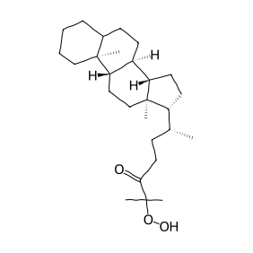 C[C@H](CCC(=O)C(C)(C)OO)[C@H]1CC[C@H]2[C@@H]3CCC4CCCC[C@]4(C)[C@H]3CC[C@]12C